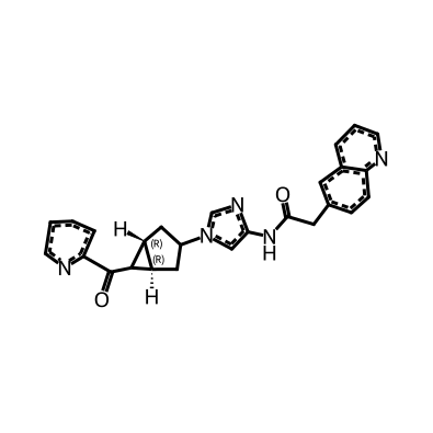 O=C(Cc1ccc2ncccc2c1)Nc1cn(C2C[C@H]3C(C(=O)c4ccccn4)[C@@H]3C2)cn1